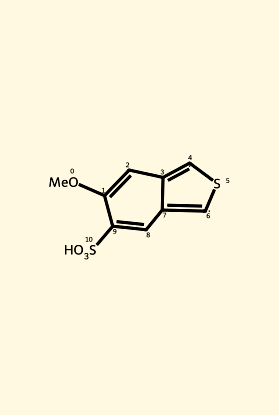 COc1cc2[c]s[c]c2cc1S(=O)(=O)O